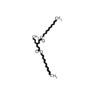 CCCCCCCCCCCCOC(=O)CCC(CCCC)CCC(=O)OCCCCCCCCCCCC